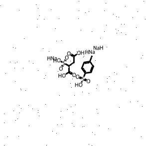 Cc1ccc(S(=O)(=O)O)cc1.O=C(O)CC(C(=O)O)S(=O)(=O)O.[NaH].[NaH].[NaH]